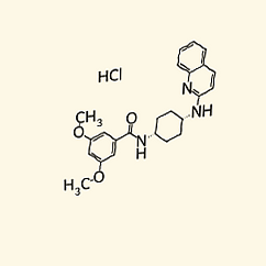 COc1cc(OC)cc(C(=O)N[C@H]2CC[C@@H](Nc3ccc4ccccc4n3)CC2)c1.Cl